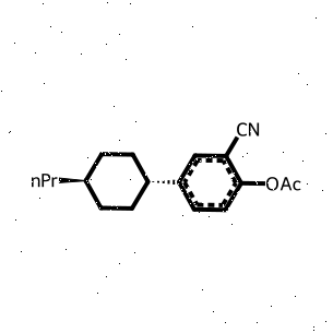 CCC[C@H]1CC[C@H](c2ccc(OC(C)=O)c(C#N)c2)CC1